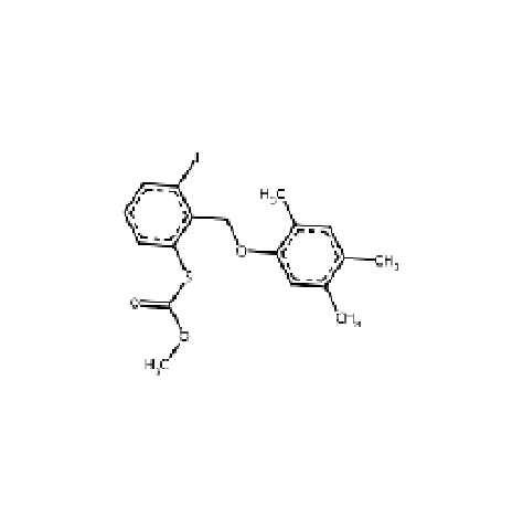 COC(=O)Sc1cccc(I)c1COc1cc(C)c(C)cc1C